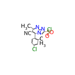 Cc1cc(Cl)ccc1-c1c(C#N)c(C)nc2nc(S(=O)(=O)Cl)cn12